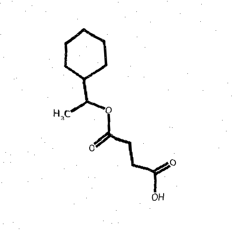 CC(OC(=O)CCC(=O)O)C1CCCCC1